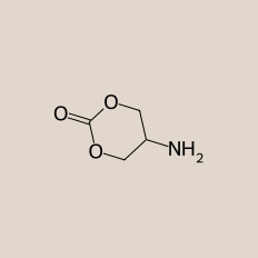 NC1COC(=O)OC1